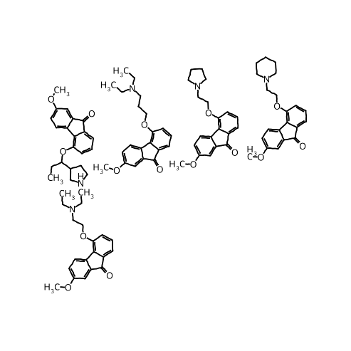 CCC(Oc1cccc2c1-c1ccc(OC)cc1C2=O)C1CCNC1.CCN(CC)CCCOc1cccc2c1-c1ccc(OC)cc1C2=O.CCN(CC)CCOc1cccc2c1-c1ccc(OC)cc1C2=O.COc1ccc2c(c1)C(=O)c1cccc(OCCN3CCCC3)c1-2.COc1ccc2c(c1)C(=O)c1cccc(OCCN3CCCCC3)c1-2